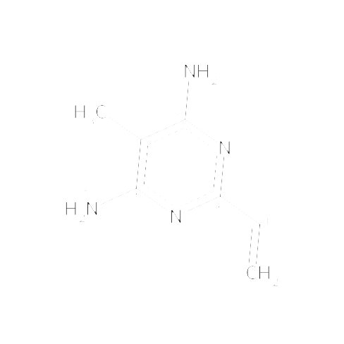 C=Cc1nc(N)c(C)c(N)n1